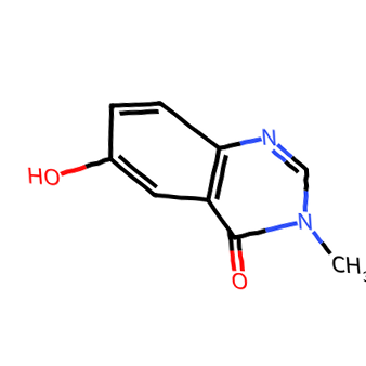 Cn1cnc2ccc(O)cc2c1=O